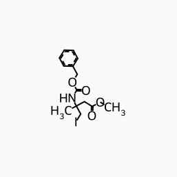 COC(=O)CC(C)(CI)NC(=O)OCc1ccccc1